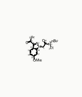 CCCCN(CC)C(=O)Cn1nc(C(=O)C(C)C)c2ccc(OC)cc21